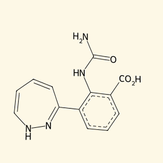 NC(=O)Nc1c(C(=O)O)cccc1C1=NNC=CC=C1